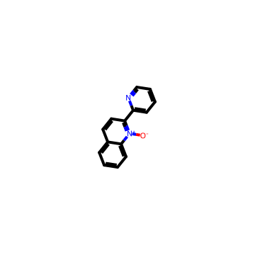 [O-][n+]1c(-c2ccccn2)ccc2ccccc21